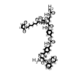 CC(C)C(NC(=O)CCCCCN1C(=O)C=CC1=O)C(=O)N[C@@H](CCCNC(N)=O)C(=O)Nc1ccc(COC(=O)NCc2ccc(-c3cnc(N)c(C(=O)Nc4cnccc4N4CCOCC4)n3)cc2)cc1